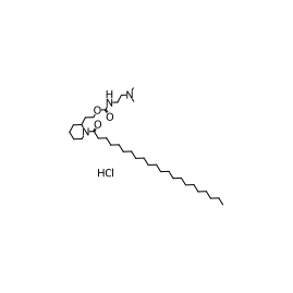 CCCCCCCCCCCCCCCCCCCCCC(=O)N1CCCCC1CCOC(=O)NCCN(C)C.Cl